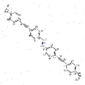 COc1ccc(C#Cc2ccc(/C=C/c3ccc(C#Cc4ccc(OC)cc4)cc3)cc2)cc1